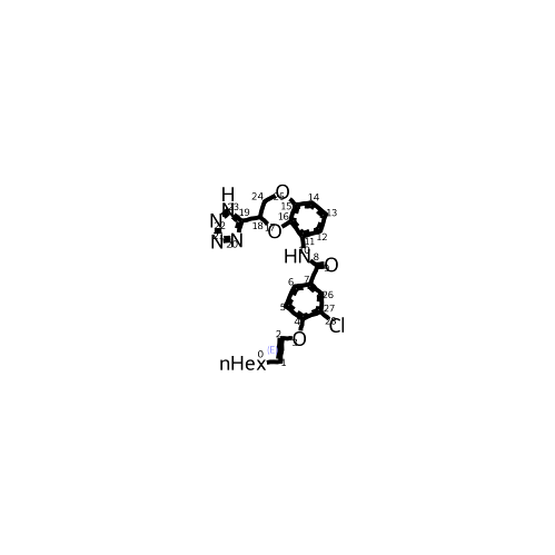 CCCCCC/C=C/Oc1ccc(C(=O)Nc2cccc3c2OC(c2nnn[nH]2)CO3)cc1Cl